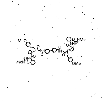 CN[C@@H](C)C(=O)N[C@H](C(=O)N1CCC[C@H]1CN(CCc1ccc(OC)cc1)C(=O)CNC(=O)c1ccc(-c2ccc(C(=O)NCC(=O)N(CCc3ccc(OC)cc3)C[C@@H]3CCCN3C(=O)[C@@H](NC(=O)[C@H](C)NC)C3CCCCC3)cc2)cc1)C1CCCCC1